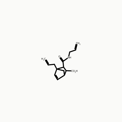 C=CCNC(=O)C1C(C(=O)O)C2C=CC1(CC=C)C2